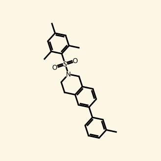 Cc1cccc(-c2ccc3c(c2)CCN(S(=O)(=O)c2c(C)cc(C)cc2C)C3)c1